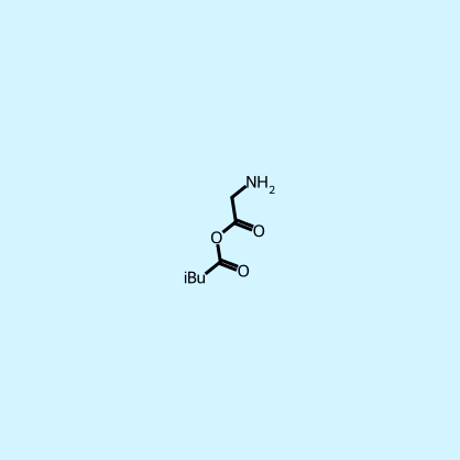 CCC(C)C(=O)OC(=O)CN